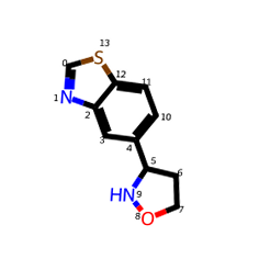 c1nc2cc(C3CCON3)ccc2s1